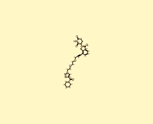 O=C1CCC(N2Cc3c(C#CCOCCOCCn4cc(C(=O)N5CCCCC5)nn4)cccc3C2=O)C(=O)N1